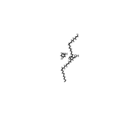 CCCCCCCC/C=C\CCCCCCCC(=O)CC(CO)C(=O)CCCCCCC/C=C\CCCCCCCC.CN1CCNCC1